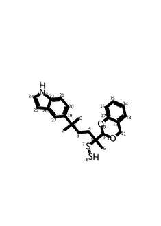 CC(C)(CCC(C)(SS)C1OCc2ccccc2O1)c1ccc2[nH]ccc2c1